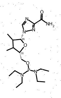 CCN(CC)P(OC[C@H]1O[C@@H](n2cnc(C(N)=O)n2)C(C)C1C)N(CC)CC